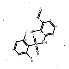 O=Cc1cccc(NS(=O)(=O)c2c(F)cccc2F)c1F